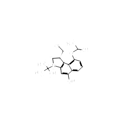 CC(C)Oc1cccc2c(O)cc3c(c12)[C@H](CCl)CN3C(C)(C)C